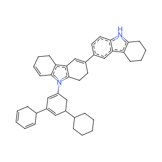 C1=CCC(C2=CC(C3CCCCC3)CC(n3c4c(c5c3CCC(c3ccc6[nH]c7c(c6c3)CCCC7)=C5)CCC=C4)=C2)C=C1